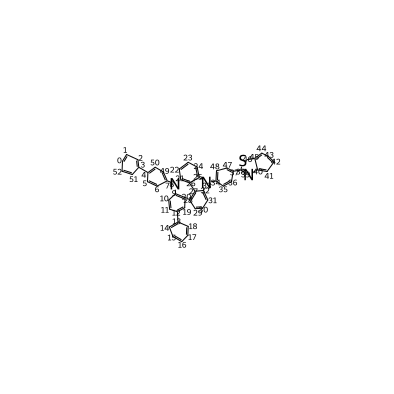 c1ccc(-c2ccc(N(c3ccc(-c4ccccc4)cc3)c3cccc4c3c3ccccc3n4-c3ccc(-c4nc5ccccc5s4)cc3)cc2)cc1